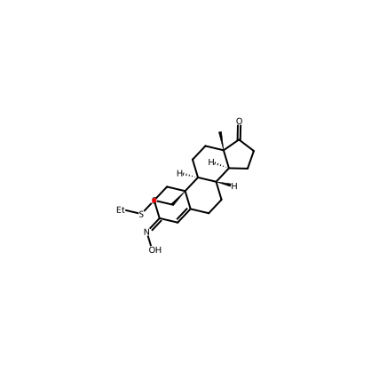 CCSSC[C@]12CC/C(=N/O)C=C1CC[C@@H]1[C@@H]2CC[C@]2(C)C(=O)CC[C@@H]12